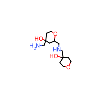 NCC1(O)CCOC(CNCC2(O)CCOCC2)C1